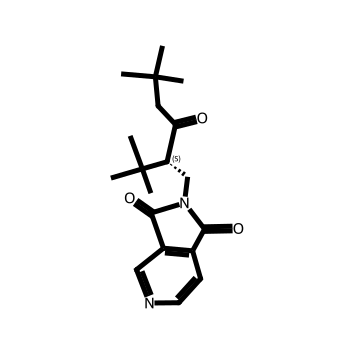 CC(C)(C)CC(=O)[C@H](CN1C(=O)c2ccncc2C1=O)C(C)(C)C